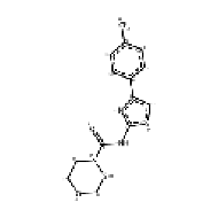 O=C(Nc1nc(-c2ccc(C(F)(F)F)cc2)cs1)N1CCOCS1